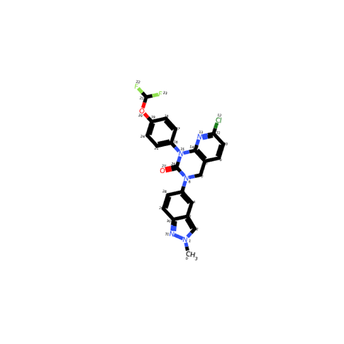 Cn1cc2cc(N3Cc4ccc(Cl)nc4N(c4ccc(OC(F)F)cc4)C3=O)ccc2n1